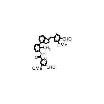 COc1cc(/C=C2\CCc3c2cccc3-c2cccc(NC(=O)c3cc(OC)c(C=O)cn3)c2C)ccc1C=O